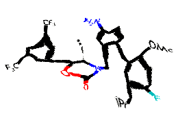 COc1cc(F)c(C(C)C)cc1-c1ccc(N)cc1CN1C(=O)OC(c2cc(C(F)(F)F)cc(C(F)(F)F)c2)[C@@H]1C